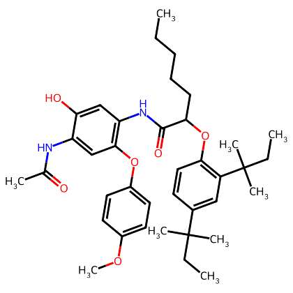 CCCCCC(Oc1ccc(C(C)(C)CC)cc1C(C)(C)CC)C(=O)Nc1cc(O)c(NC(C)=O)cc1Oc1ccc(OC)cc1